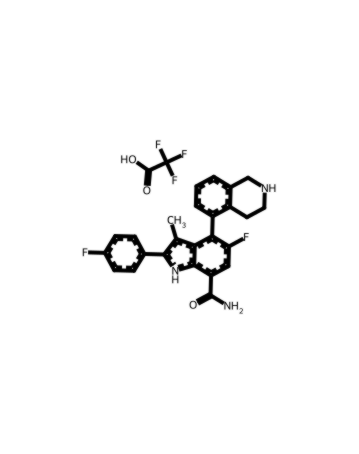 Cc1c(-c2ccc(F)cc2)[nH]c2c(C(N)=O)cc(F)c(-c3cccc4c3CCNC4)c12.O=C(O)C(F)(F)F